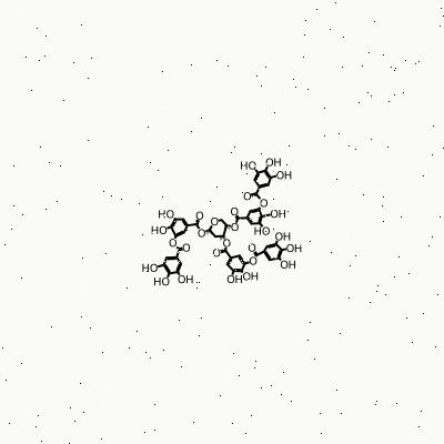 O=C(Oc1cc(C(=O)O[C@@H]2C[C@@H](OC(=O)c3cc(O)c(O)c(OC(=O)c4cc(O)c(O)c(O)c4)c3)[C@H](OC(=O)c3cc(O)c(O)c(OC(=O)c4cc(O)c(O)c(O)c4)c3)CO2)cc(O)c1O)c1cc(O)c(O)c(O)c1